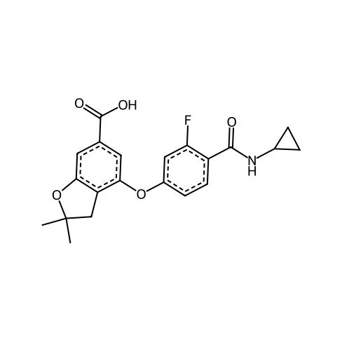 CC1(C)Cc2c(Oc3ccc(C(=O)NC4CC4)c(F)c3)cc(C(=O)O)cc2O1